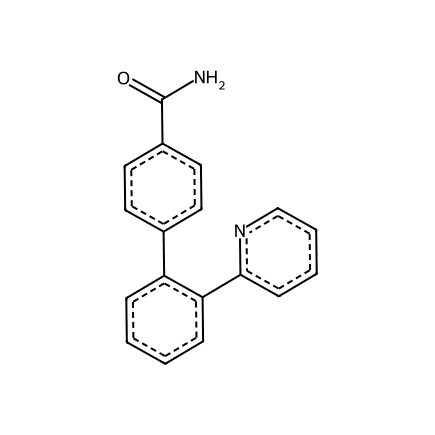 NC(=O)c1ccc(-c2ccccc2-c2ccccn2)cc1